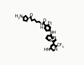 CCc1cc(Nc2cccn3c(C4=CC(=N)CN=C4C(F)(F)F)cnc23)ccc1C(=O)NCCCCC(=O)[C@H]1CC[C@H](N)C1